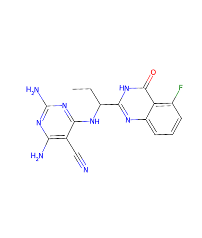 CCC(Nc1nc(N)nc(N)c1C#N)c1nc2cccc(F)c2c(=O)[nH]1